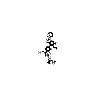 CC=Cc1c(Cl)cc2c(cnn2C2CCCCO2)c1-c1ccc2c(O)nc(OCC3(CN(C)C)CC3)nc2c1F